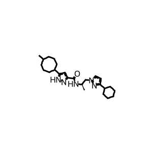 CC1CCCC(c2cc(C(=O)N[C@H](C)Cn3ccc(C4CCCCC4)n3)n[nH]2)CCC1